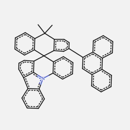 CC1(C)c2ccccc2C2(c3ccccc3-n3c4ccccc4c4cccc2c43)c2cc(-c3cc4ccccc4c4ccccc34)ccc21